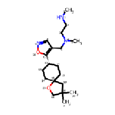 CNCCN(C)Cc1cnoc1[C@H]1CC[C@@]2(CC1)CC(C)(C)CO2